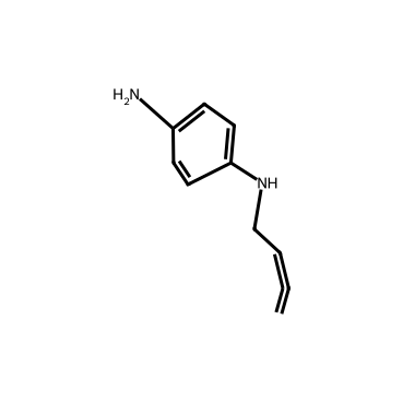 C=C=CCNc1ccc(N)cc1